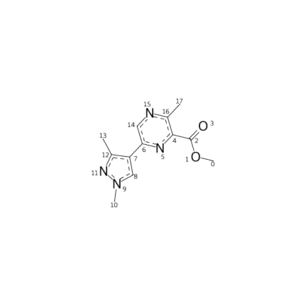 COC(=O)c1nc(-c2cn(C)nc2C)cnc1C